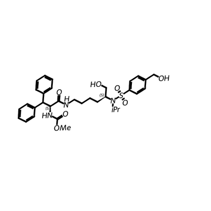 COC(=O)N[C@H](C(=O)NCCCC[C@@H](CO)N(C(C)C)S(=O)(=O)c1ccc(CO)cc1)C(c1ccccc1)c1ccccc1